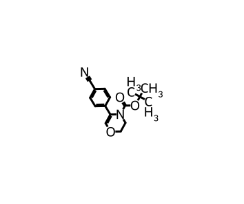 CC(C)(C)OC(=O)N1CCOC=C1c1ccc(C#N)cc1